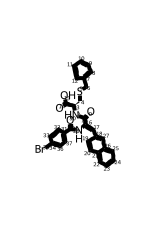 O=C(N[C@@H](CSCc1ccccc1)C(=O)O)/C(=C/c1ccc2ccccc2c1)NC(=O)c1ccc(Br)cc1